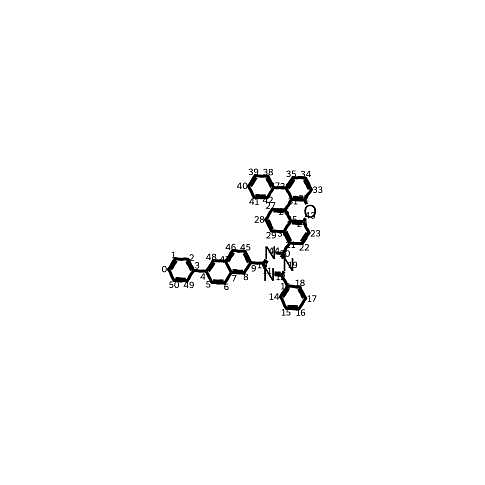 c1ccc(-c2ccc3cc(-c4nc(-c5ccccc5)nc(-c5ccc6c7c(cccc57)-c5c(cccc5-c5ccccc5)O6)n4)ccc3c2)cc1